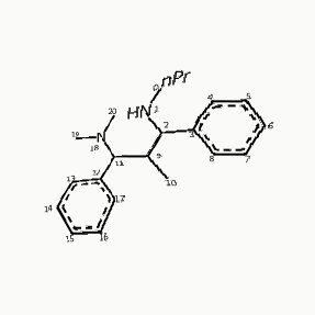 CCCNC(c1ccccc1)C(C)C(c1ccccc1)N(C)C